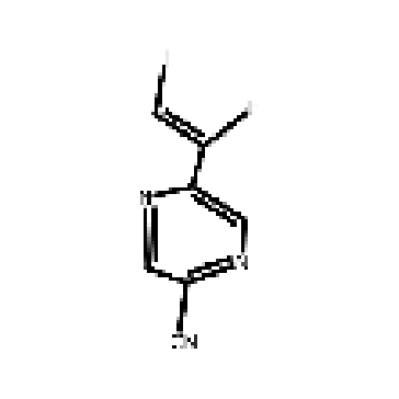 N#Cc1cnc(/C(F)=C/I)cn1